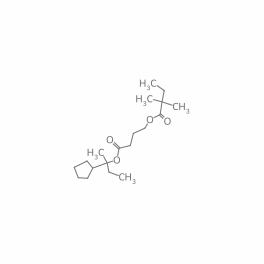 CCC(C)(C)C(=O)OCCCC(=O)OC(C)(CC)C1CCCC1